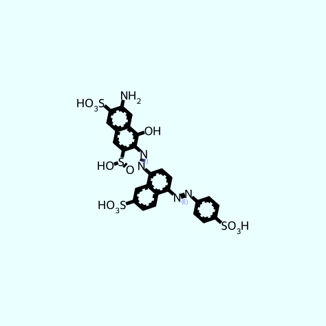 Nc1cc2c(O)c(/N=N/c3ccc(/N=N/c4ccc(S(=O)(=O)O)cc4)c4ccc(S(=O)(=O)O)cc34)c(S(=O)O)cc2cc1S(=O)(=O)O